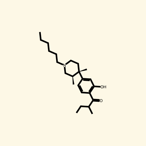 CCCCCCN1CC[C@](C)(c2ccc(C(=O)C(C)CC)c(O)c2)[C@@H](C)C1